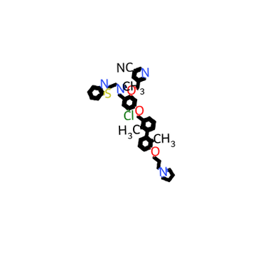 Cc1c(COc2cc(OCc3cncc(C#N)c3)c(CN(C)Cc3nc4ccccc4s3)cc2Cl)cccc1-c1cccc(OCCCN2CCCC2)c1C